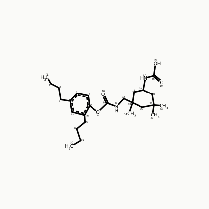 CCCCc1ccc(OC(=O)NCC2(C)CC(NC(=O)O)CC(C)(C)C2)c(CCCC)c1